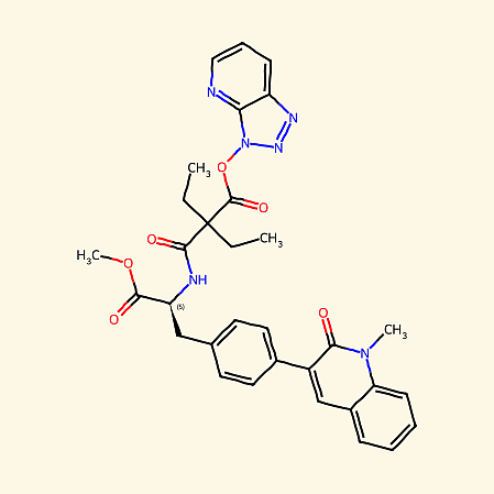 CCC(CC)(C(=O)N[C@@H](Cc1ccc(-c2cc3ccccc3n(C)c2=O)cc1)C(=O)OC)C(=O)On1nnc2cccnc21